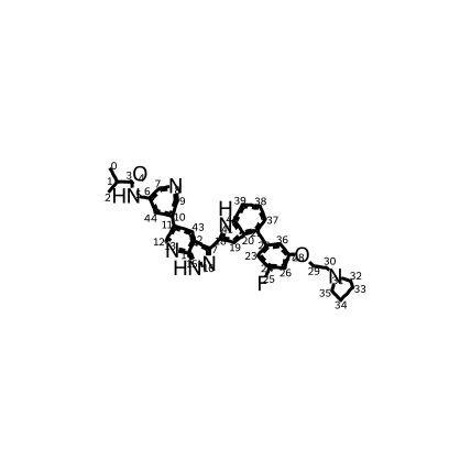 CC(C)C(=O)Nc1cncc(-c2cnc3[nH]nc(-c4cc5c(-c6cc(F)cc(OCCN7CCCC7)c6)cccc5[nH]4)c3c2)c1